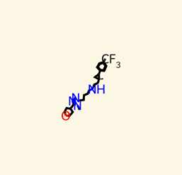 Cn1c(CCCCNCC[C@]2(C)CC2c2ccc(C(F)(F)F)cc2)nnc1C1CCOCC1